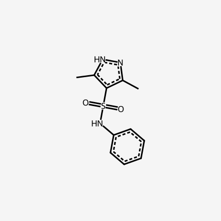 Cc1n[nH]c(C)c1S(=O)(=O)Nc1ccccc1